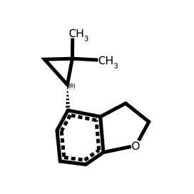 CC1(C)C[C@H]1c1cccc2c1CCO2